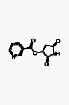 O=C1CC(OC(=O)c2cccnc2)C(=O)N1